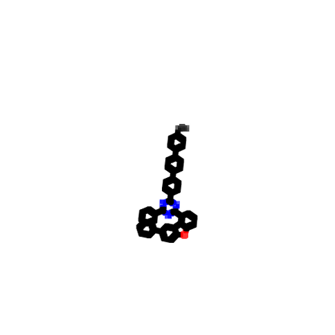 CCCCc1ccc(-c2ccc(-c3ccc(-c4nc(-c5ccccc5)nc(-c5cccc6oc7ccc(-c8ccccc8)cc7c56)n4)cc3)cc2)cc1